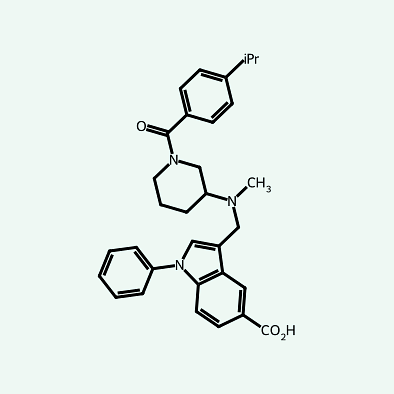 CC(C)c1ccc(C(=O)N2CCCC(N(C)Cc3cn(-c4ccccc4)c4ccc(C(=O)O)cc34)C2)cc1